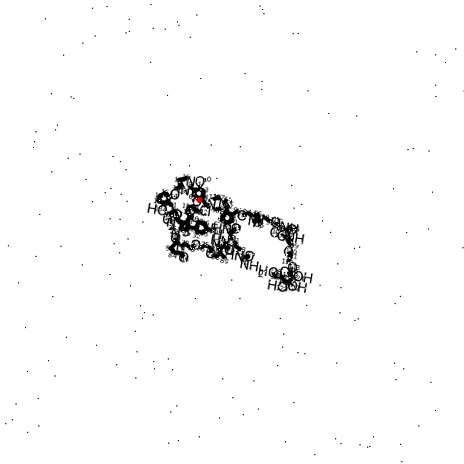 COc1ccccc1-c1nccc(COc2ccccc2C[C@@H](Oc2ncnc3sc(-c4ccc(F)cc4)c(-c4[c-]c(Cl)c(OCCN5CC[N+](C)(Cc6ccc(NC(=O)[C@H](CCCNC(N)=O)NC(=O)[C@@H](NC(=O)CCOCCN7C(=O)C=CC7=O)C(C)C)cc6COCc6cn(CCOC(=O)NS(=O)(=O)NCCOCCO[C@@H]7O[C@H](CO)[C@@H](O)[C@H](O)[C@H]7O)nn6)CC5)cc4)c23)C(=O)O)n1